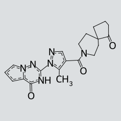 Cc1c(C(=O)N2CCC3(CCCC3=O)CC2)cnn1-c1nn2cccc2c(=O)[nH]1